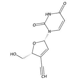 C#CC1=C[C@@H](n2ccc(=O)[nH]c2=O)O[C@H]1CO